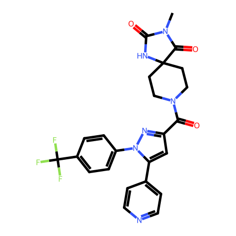 CN1C(=O)NC2(CCN(C(=O)c3cc(-c4ccncc4)n(-c4ccc(C(F)(F)F)cc4)n3)CC2)C1=O